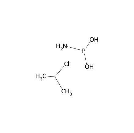 CC(C)Cl.NP(O)O